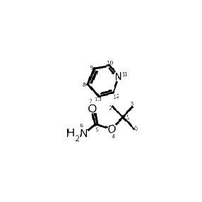 CC(C)(C)OC(N)=O.c1ccncc1